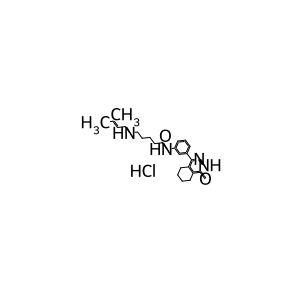 CC(C)=CCNCCCCC(=O)Nc1cccc(-c2n[nH]c(=O)c3c2CCCC3)c1.Cl